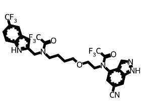 N#Cc1cc(N(CCOCCCCN(Cc2cc3cc(C(F)(F)F)ccc3[nH]2)C(=O)C(F)(F)F)C(=O)C(F)(F)F)c2cn[nH]c2c1